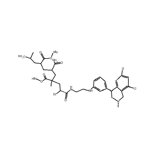 CCCCOC(=O)C(CC(C)C(=O)O)CC(CC(C)(CC(CC)C(=O)NCCNc1cccc(C2CN(C)Cc3c(Cl)cc(Cl)cc32)c1)C(=O)OCCCC)C(N)=O